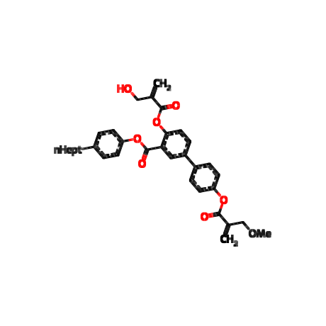 C=C(COC)C(=O)Oc1ccc(-c2ccc(OC(=O)C(=C)CO)c(C(=O)Oc3ccc(CCCCCCC)cc3)c2)cc1